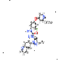 COc1cc(Oc2ccc(NC(=O)Nc3cc(C(C)C)nn3-c3ccc4ncccc4c3)c(F)c2)ccn1